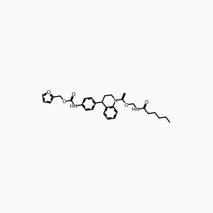 C=C(OCNC(=O)CCCCC)N1CCC(c2ccc(NC(=O)OCc3ccco3)cc2)c2ccccc21